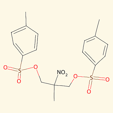 Cc1ccc(S(=O)(=O)OCC(C)(COS(=O)(=O)c2ccc(C)cc2)[N+](=O)[O-])cc1